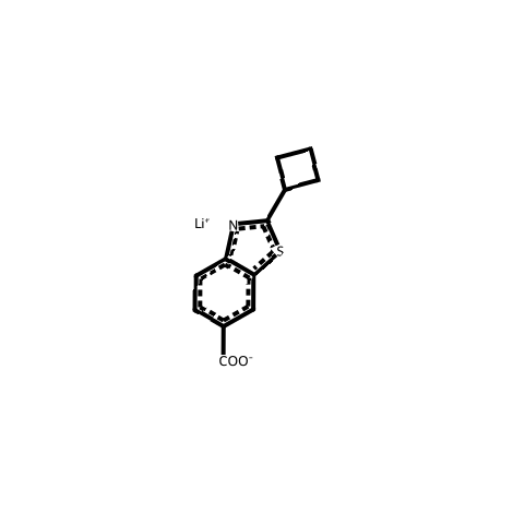 O=C([O-])c1ccc2nc(C3CCC3)sc2c1.[Li+]